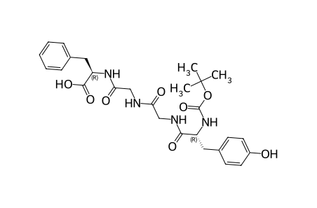 CC(C)(C)OC(=O)N[C@H](Cc1ccc(O)cc1)C(=O)NCC(=O)NCC(=O)N[C@H](Cc1ccccc1)C(=O)O